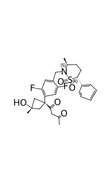 CC(=O)CC(=O)[C@]1(c2cc(F)c(CN3[C@@H](C)CC[C@H](c4ccccc4)S3(=O)=O)cc2F)C[C@@](C)(O)C1